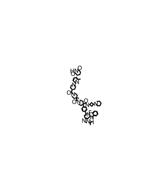 Cc1nc(N2CCC(C(=O)N3CCC(C)(C(=O)N4CCC5(CC4)C(=O)N(C4CC(N6CCCCC6)C4)c4cc(-c6cc7ncn(C(C)C)c7c(Nc7ccccc7F)n6)ccc45)CC3)CC2)ccc1[C@H]1CCC(=O)NC1=O